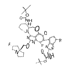 CC(C)(C)OC(=O)Nc1nc2c(-c3c(Cl)c4c5c(nc(OC[C@@]67CCCN6C[C@H](F)C7)nc5c3F)N3CCCC[C@H](NC(=O)OC(C)(C)C)[C@H]3CO4)ccc(F)c2s1